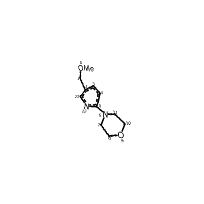 COCc1ccc(N2CCOCC2)nc1